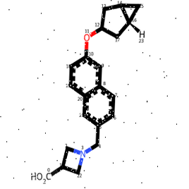 O=C(O)C1CN(Cc2ccc3cc(OC4CC5C[C@@H]5C4)ccc3c2)C1